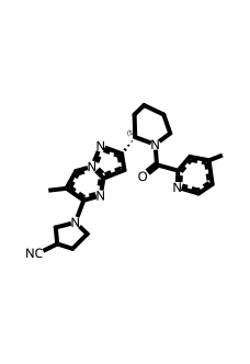 Cc1ccnc(C(=O)N2CCCC[C@H]2c2cc3nc(N4CCC(C#N)C4)c(C)cn3n2)c1